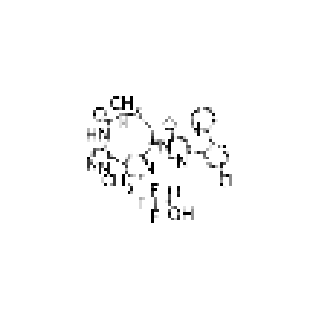 C[C@@H]1CCC[C@H](n2cnc(-c3cc(Cl)ccc3-c3ccccn3)cc2=O)c2cc(ccn2)-c2c(cnn2C)NC1=O.O=C(O)C(F)(F)F